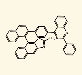 Cc1nc2cc3ccccc3c(-c3c(-c4ccc(-c5nc(-c6ccccc6)nc6ccccc56)cc4)ccc4ccccc34)c2s1